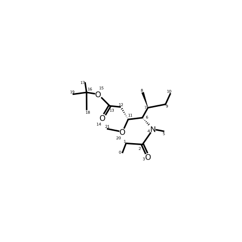 CCC(=O)N(C)[C@@H]([C@@H](C)CC)[C@@H](CC(=O)OC(C)(C)C)OC